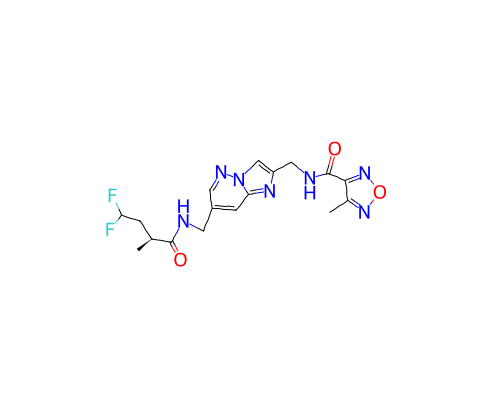 Cc1nonc1C(=O)NCc1cn2ncc(CNC(=O)[C@@H](C)CC(F)F)cc2n1